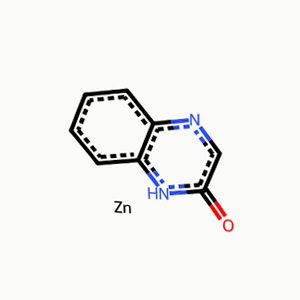 O=c1cnc2ccccc2[nH]1.[Zn]